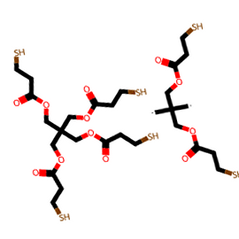 O=C(CCS)OCC(COC(=O)CCS)(COC(=O)CCS)COC(=O)CCS.[CH2]C([CH2])(COC(=O)CCS)COC(=O)CCS